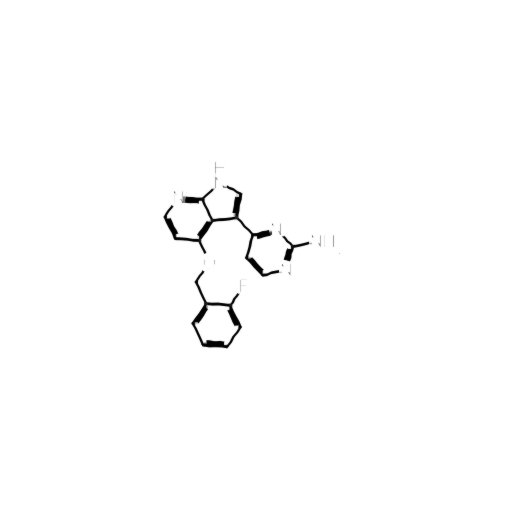 Nc1nccc(-c2c[nH]c3nccc(OCc4ccccc4F)c23)n1